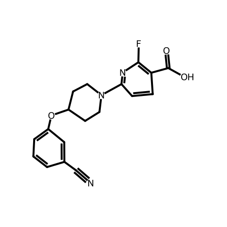 N#Cc1cccc(OC2CCN(c3ccc(C(=O)O)c(F)n3)CC2)c1